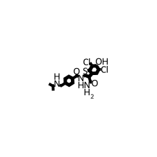 CC(C)NCc1ccc(C(=O)Nc2sc3c(Cl)c(O)c(Cl)cc3c2C(N)=O)cc1